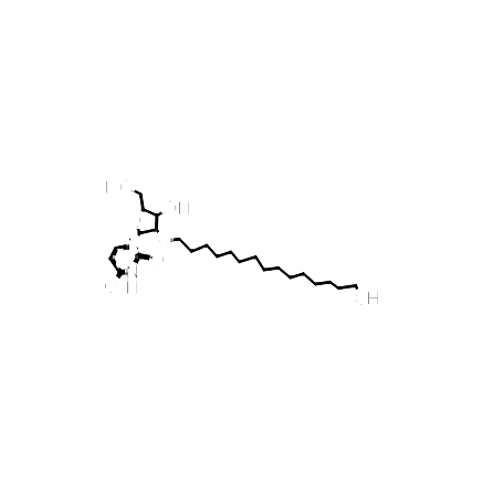 CCCCCCCCCCCCCCCCOC1C(O)C(CO)OC1n1ccc(=O)[nH]c1=O